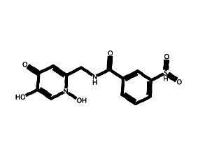 O=C(NCc1cc(=O)c(O)cn1O)c1cccc([SH](=O)=O)c1